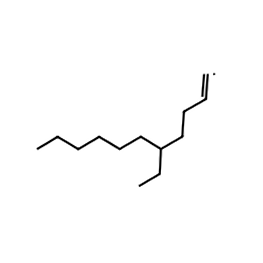 [CH]=CCCC(CC)CCCCCC